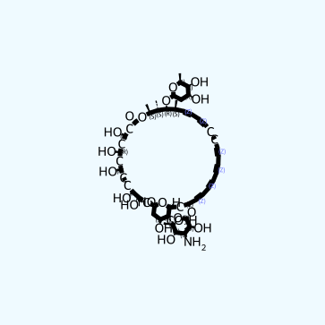 C[C@@H]1[C@H](OC2C[C@@H](O)[C@@H](O)[C@H](C)O2)[C@@H](C)/C=C\C=C/CC\C=C/C=C\C=C/C=C\[C@H](O[C@@H]2O[C@H](C)[C@@H](O)[C@H](N)[C@@H]2O)C[C@@H]2O[C@](O)(C[C@@H](O)[C@H](O)CC[C@@H](O)C[C@@H](O)C[C@@H](O)CC(=O)O[C@H]1C)C[C@H](O)[C@H]2C(=O)O